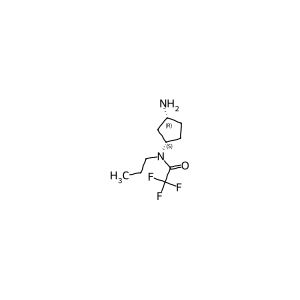 CCCN(C(=O)C(F)(F)F)[C@H]1CC[C@@H](N)C1